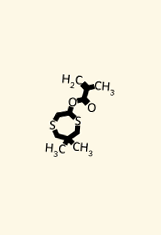 C=C(C)C(=O)OC1CSCC(C)(C)CS1